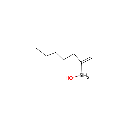 C=C(CCCCC)[SiH2]O